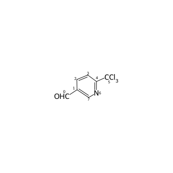 O=Cc1ccc(C(Cl)(Cl)Cl)nc1